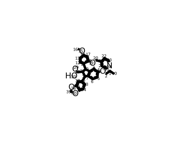 CCCOc1ccc2c(c1)C(c1ccc(OC)cc1OCc1ccncc1)C(C(=O)O)C2c1ccc2c(c1)OCO2